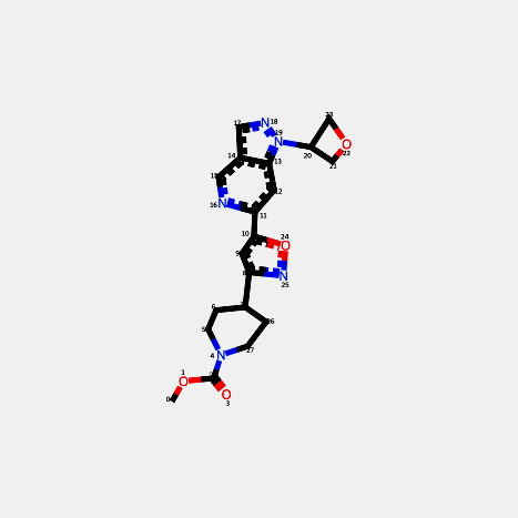 COC(=O)N1CCC(c2cc(-c3cc4c(cn3)cnn4C3COC3)on2)CC1